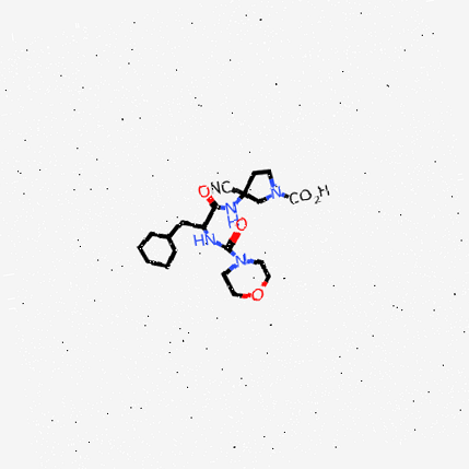 N#CC1(NC(=O)C(CC2CCCCC2)NC(=O)N2CCOCC2)CCN(C(=O)O)C1